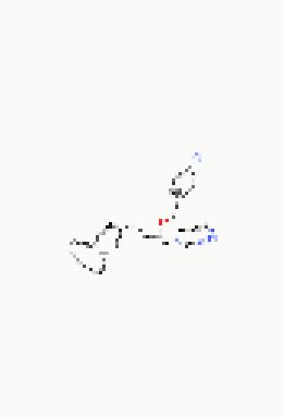 Nc1ccc(COC(CCc2ccc3ccccc3c2)Cn2ccnc2)cc1